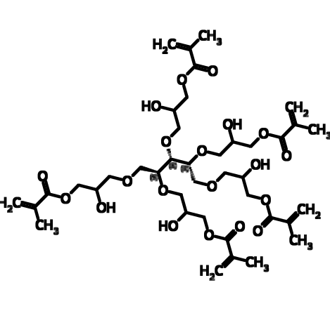 C=C(C)C(=O)OCC(O)COC[C@H](OCC(O)COC(=O)C(=C)C)[C@H](OCC(O)COC(=O)C(=C)C)[C@@H](COCC(O)COC(=O)C(=C)C)OCC(O)COC(=O)C(=C)C